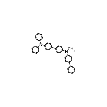 CN(c1ccc(-c2ccccc2)cc1)c1ccc(-c2ccc(N(c3ccccc3)c3ccccc3)cc2)cc1